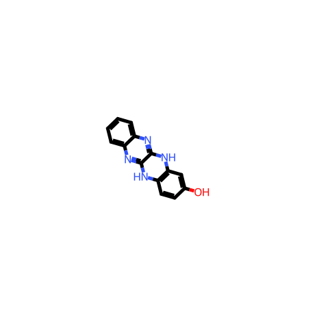 Oc1ccc2c(c1)Nc1nc3ccccc3nc1N2